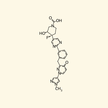 Cn1cc(-n2ccc(=O)c(Cc3cccc(-c4ncc([C@@]5(F)CCN(C(=O)O)C[C@@H]5O)cn4)c3)n2)cn1